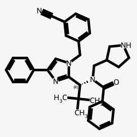 CC(C)(C)[C@H](c1nc(-c2ccccc2)cn1Cc1cccc(C#N)c1)N(CC1CCNC1)C(=O)c1ccccc1